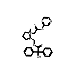 C[N+]1(CC(=O)Nc2cnccn2)CCC[C@@H]1COC(=O)C(O)(c1ccccc1)c1ccccc1